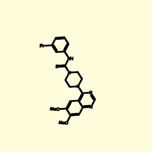 COc1cc2ncnc(N3CCN(C(=S)Nc4cccc(C(C)C)c4)CC3)c2cc1OC